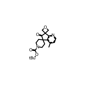 Cc1ccnc2c1C1(CCN(C(=O)OC(C)(C)C)CC1)C(=O)C21COC1